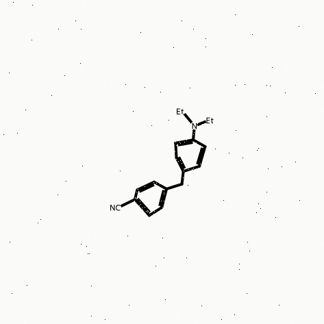 CCN(CC)c1ccc(Cc2ccc(C#N)cc2)cc1